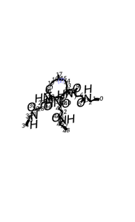 C#CCNC(=O)CCC(=O)NC1(C)CC/C=C(/C)CCCCC(C)(NC(=O)CCC(=O)NCC#C)CC(C)(NC(=O)CCC(=O)NCC#C)C1